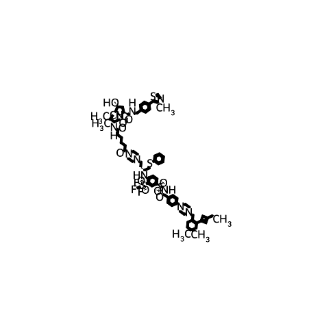 CCC12CC(C3=C(CN4CCN(c5ccc(C(=O)NS(=O)(=O)c6ccc(N[C@H](CCN7CCN(C(=O)CCCCC(=O)N[C@H](C(=O)N8C[C@H](O)C[C@H]8C(=O)NCc8ccc(-c9scnc9C)cc8)C(C)(C)C)CC7)CSc7ccccc7)c(S(=O)(=O)C(F)(F)F)c6)cc5)CC4)CCC(C)(C)C3)(C1)C2